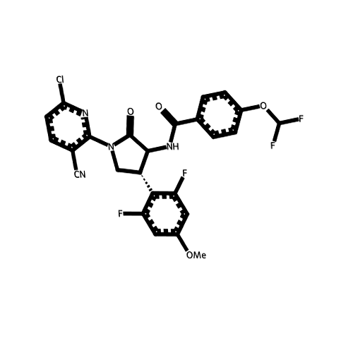 COc1cc(F)c([C@@H]2CN(c3nc(Cl)ccc3C#N)C(=O)C2NC(=O)c2ccc(OC(F)F)cc2)c(F)c1